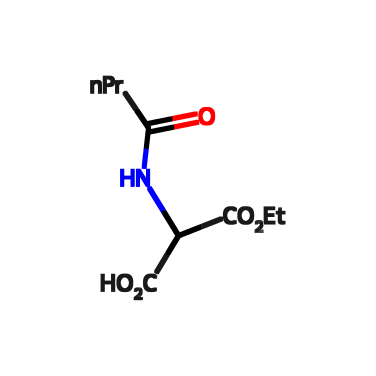 CCCC(=O)NC(C(=O)O)C(=O)OCC